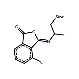 CSCC(C)/N=C1\OC(=O)c2cccc(Cl)c21